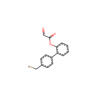 O=CC(=O)Oc1ccccc1-c1ccc(CBr)cc1